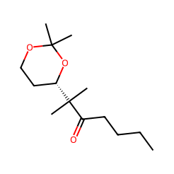 CCCCC(=O)C(C)(C)[C@@H]1CCOC(C)(C)O1